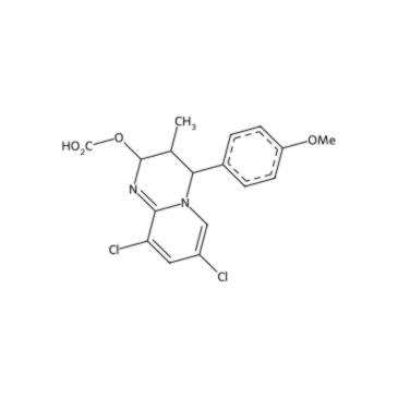 COc1ccc(C2C(C)C(OC(=O)O)N=C3C(Cl)=CC(Cl)=CN32)cc1